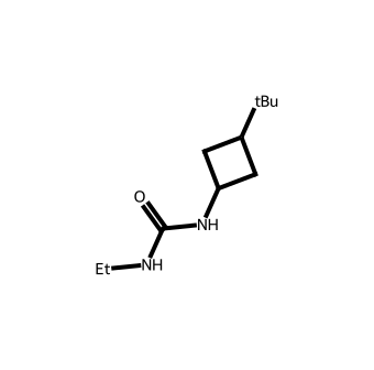 CCNC(=O)NC1CC(C(C)(C)C)C1